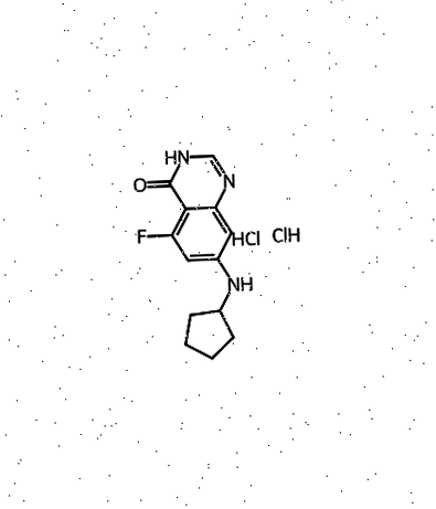 Cl.Cl.O=c1[nH]cnc2cc(NC3CCCC3)cc(F)c12